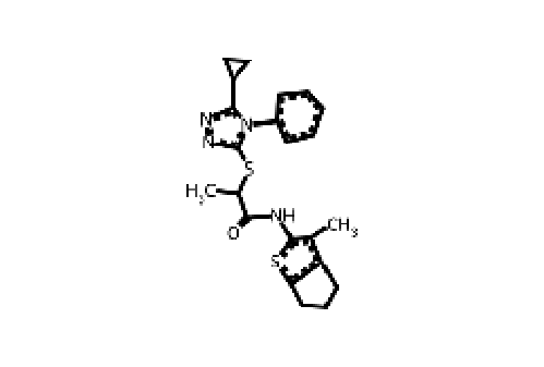 Cc1c(NC(=O)C(C)Sc2nnc(C3CC3)n2-c2ccccc2)sc2c1CCC2